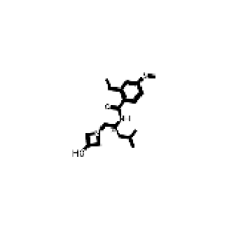 CCc1cc(SC)ccc1C(=O)N[C@@H](CC(C)C)CN1CC(O)C1